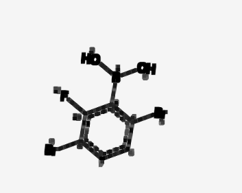 OB(O)c1c(Br)ccc(Br)c1F